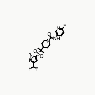 Cn1nc(C(F)F)cc1S(=O)(=O)C(C)(C)C1CCN(C(=O)Nc2ccc(F)nc2)CC1